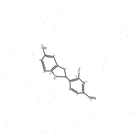 CNc1ccc(C2Cc3cc(O)ccc3O2)c(F)n1